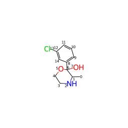 CC1NCCOC1(O)c1cccc(Cl)c1